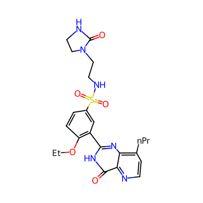 CCCc1ccnc2c(=O)[nH]c(-c3cc(S(=O)(=O)NCCN4CCNC4=O)ccc3OCC)nc12